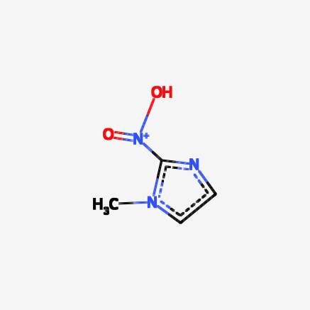 Cn1ccnc1[N+](=O)O